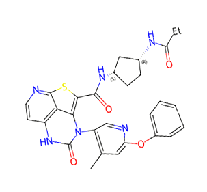 CCC(=O)N[C@@H]1CC[C@H](NC(=O)c2sc3nccc4c3c2N(c2cnc(Oc3ccccc3)cc2C)C(=O)N4)C1